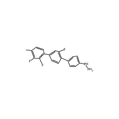 Cc1ccc(-c2ccc(-c3ccc(PP)cc3)c(F)c2)c(F)c1F